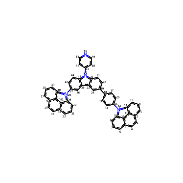 c1cc2ccc3cccc4c3c2c(c1)n4-c1ccc(-c2ccc3c(c2)c2cc(-n4c5cccc6ccc7cccc4c7c65)ccc2n3-c2ccncc2)cc1